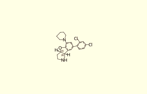 Clc1ccc(-c2cc3c(c(N4CCCCC4)c2)O[C@H]2CCNC[C@@H]32)c(Cl)c1